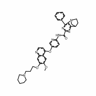 COc1cc2c(Oc3ccc(NC(=O)c4nc(-c5ccccc5)c5c(n4)C4CCN5CC4)nc3)ccnc2cc1OCCCN1CCCCC1